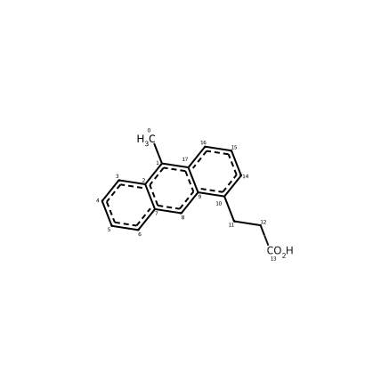 Cc1c2ccccc2cc2c(CCC(=O)O)cccc12